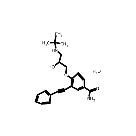 CC(C)(C)NCC(O)COc1ccc(C(N)=O)cc1C#Cc1ccccc1.O